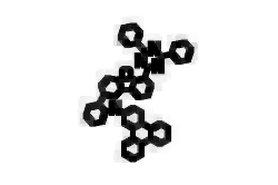 c1ccc(-c2nc(-c3ccccc3)nc(-c3cccc4c3oc3ccc5c6ccccc6n(-c6ccc7c8ccccc8c8ccccc8c7c6)c5c34)n2)cc1